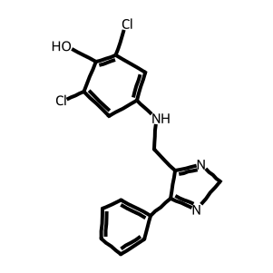 Oc1c(Cl)cc(NCC2=NCN=C2c2ccccc2)cc1Cl